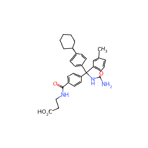 Cc1cccc(C(NC(N)=O)(c2ccc(C(=O)NCCC(=O)O)cc2)c2ccc(C3CCCCC3)cc2)c1